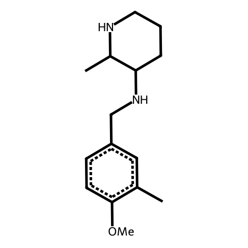 COc1ccc(CNC2CCCNC2C)cc1C